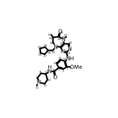 COc1cc(C(=O)NC2CCN(C)CC2)ccc1Nc1ncc2c(n1)N(CC1CCCC1)CC(C)C(=O)N2C